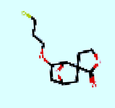 O=C1OCCC12CC1CC(OCCCS)C2O1